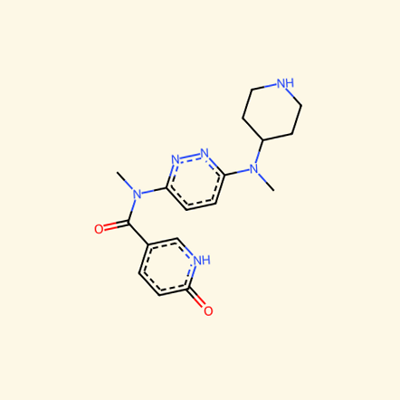 CN(C(=O)c1ccc(=O)[nH]c1)c1ccc(N(C)C2CCNCC2)nn1